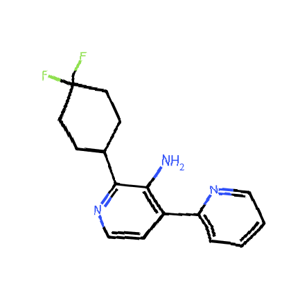 Nc1c(-c2ccccn2)ccnc1C1CCC(F)(F)CC1